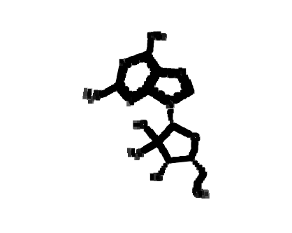 COc1nc(N)nc2c1ncn2[C@@H]1O[C@H](CO)[C@H](O)C1(C)O